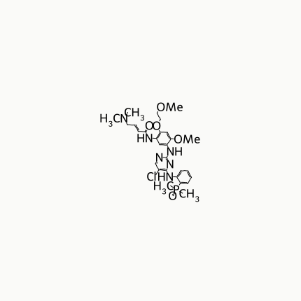 COCCOc1cc(OC)c(Nc2ncc(Cl)c(Nc3ccccc3P(C)(C)=O)n2)cc1NC(=O)/C=C/CN(C)C